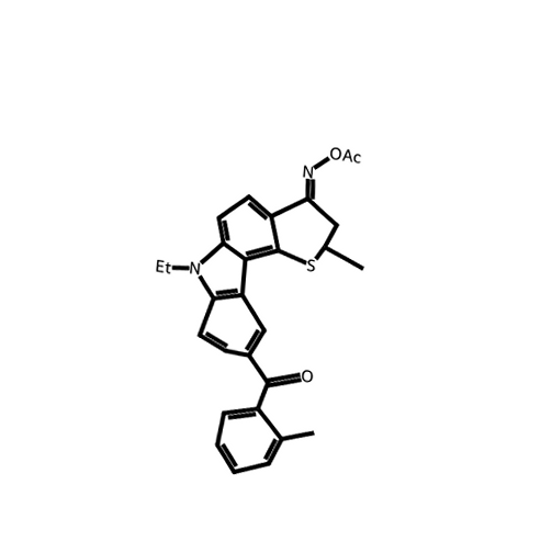 CCn1c2ccc(C(=O)c3ccccc3C)cc2c2c3c(ccc21)/C(=N/OC(C)=O)CC(C)S3